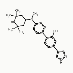 CN(c1ccc(-c2ccc(-c3cn[nH]c3)cc2O)nc1)C1CC(C)(C)NC(C)(C)C1